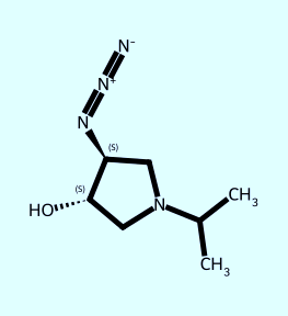 CC(C)N1C[C@H](N=[N+]=[N-])[C@@H](O)C1